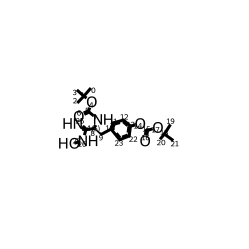 CC(C)(C)OC(=O)N[C@@H](Cc1ccc(OC(=O)OC(C)(C)C)cc1)C(=N)NO